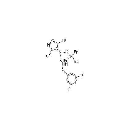 CC[Si](CC)(CC)OC(CNCc1cc(F)cc(F)c1)c1c(Cl)nsc1Cl